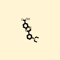 CCN(CC)c1cccc(-c2cnc3cc(C(=O)O)ccc3n2)c1